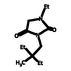 CCN1CC(=O)N(CC(C)(CC)CC)C1=O